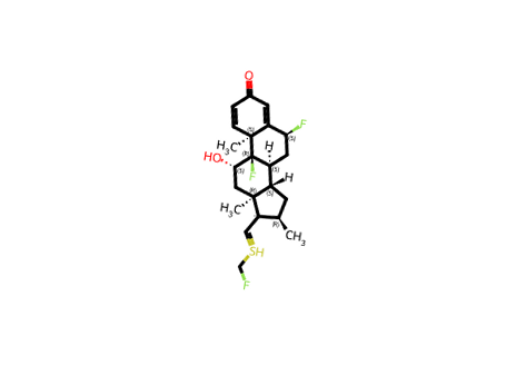 C[C@@H]1C[C@H]2[C@@H]3C[C@H](F)C4=CC(=O)C=C[C@]4(C)[C@@]3(F)[C@@H](O)C[C@]2(C)[C]1C=[SH]CF